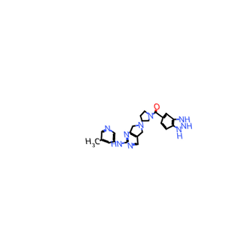 Cc1cncc(Nc2ncc3c(n2)CN(C2CCN(C(=O)c4ccc5c(c4)NNN5)C2)C3)c1